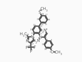 COc1ccc(/C(=C/N)N(N)c2cc(-c3cccc(SC)c3)ccc2-n2cc(C(F)(F)F)nc2C)cc1